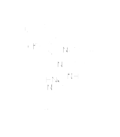 Clc1cccc(Sc2nc(Nc3cc(C4CC4)n[nH]3)c3ccccc3n2)c1Cl